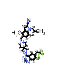 Cc1c(CN2CCC3(CC2)CN(c2ncnc4cc(F)c(CC(F)(F)F)cc24)C3)ccc2c1cc(C#N)n2CC(C)C